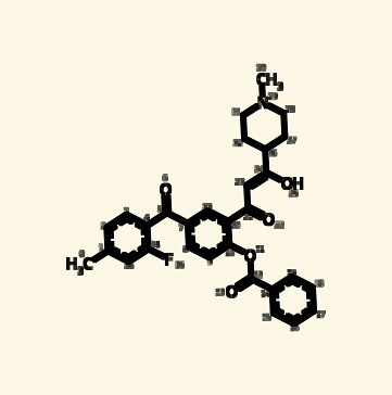 Cc1ccc(C(=O)c2ccc(OC(=O)c3ccccc3)c(C(=O)C=C(O)C3CCN(C)CC3)c2)c(F)c1